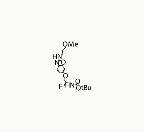 COCCCNc1nc2ccc(OC/C(=C\F)CNC(=O)OC(C)(C)C)cc2o1